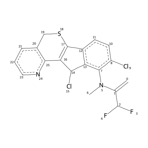 C=C(C(F)F)N(C)c1c(Cl)ccc2c1C(Cl)C1=C2SCc2cccnc21